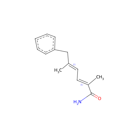 C/C(=C\C=C(/C)C(N)=O)Cc1ccccc1